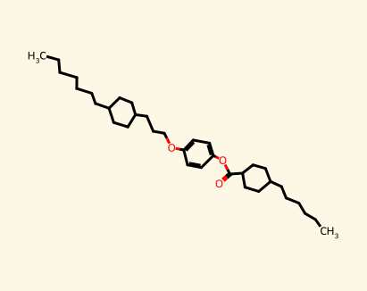 CCCCCCCC1CCC(CCCOc2ccc(OC(=O)C3CCC(CCCCCC)CC3)cc2)CC1